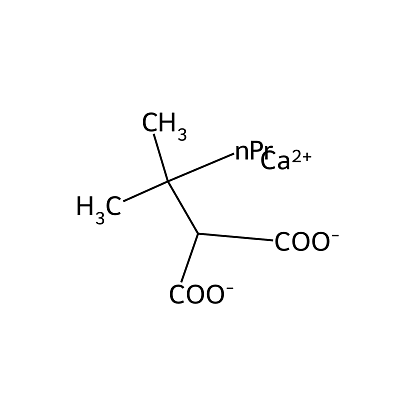 CCCC(C)(C)C(C(=O)[O-])C(=O)[O-].[Ca+2]